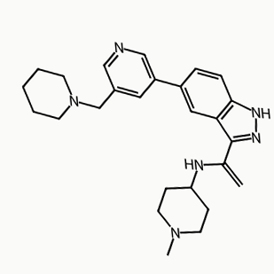 C=C(NC1CCN(C)CC1)c1n[nH]c2ccc(-c3cncc(CN4CCCCC4)c3)cc12